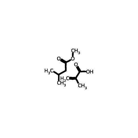 C=C(C)C(=O)O.COC(=O)CC(C)C